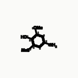 COc1cc(N)cc(SC)c1O